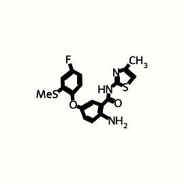 CSc1cc(F)ccc1Oc1ccc(N)c(C(=O)Nc2nc(C)cs2)c1